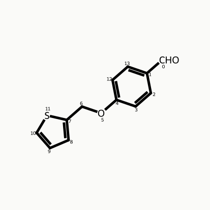 O=Cc1ccc(OCc2cccs2)cc1